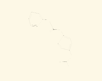 O=C(Oc1ccccc1)Oc1ccc(OC(F)F)cc1